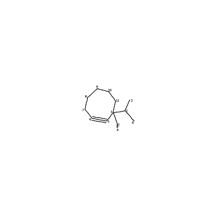 CC(C)C1(F)C#CCCCCC1